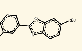 CC(C)(C)c1ccc2nc(-c3cccc(F)c3)oc2c1